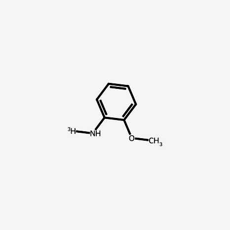 [3H]Nc1ccccc1OC